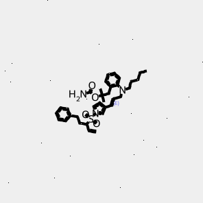 C=CC(CCc1ccccc1)S(=O)(=O)n1ccc(/C=C/CN(CCCCC)c2ccccc2CC(C)(C)OC(N)=O)c1